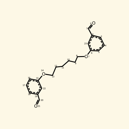 O=Cc1cccc(OCCCCCCOc2cccc(C=O)c2)c1